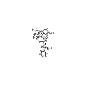 CN1CC[C@]23c4c5ccc(O)c4O[C@H]2C(OC(=O)[C@H](O)c2ccccc2)=CC[C@@]3(O)[C@H]1C5